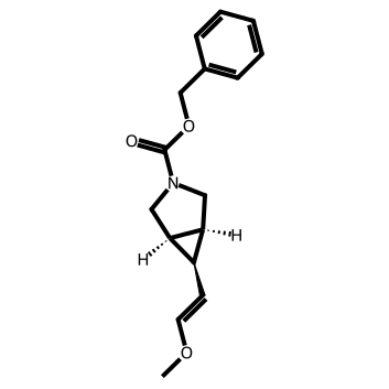 CO/C=C/[C@H]1[C@H]2CN(C(=O)OCc3ccccc3)C[C@@H]12